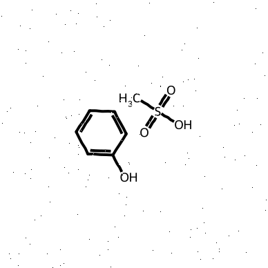 CS(=O)(=O)O.Oc1ccccc1